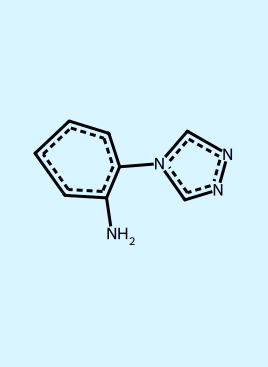 Nc1ccccc1-n1cnnc1